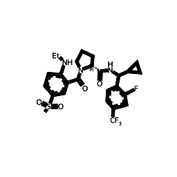 CCNc1ccc(S(C)(=O)=O)cc1C(=O)N1CCC[C@@H]1C(=O)NC(c1ccc(C(F)(F)F)cc1F)C1CC1